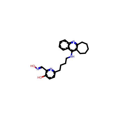 O/N=C/c1nc(CCCCNc2c3c(nc4ccccc24)CCCCC3)ccc1O